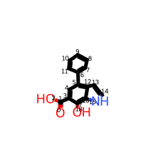 O=C(O)c1cc(-c2ccccc2)c2cc[nH]c2c1O